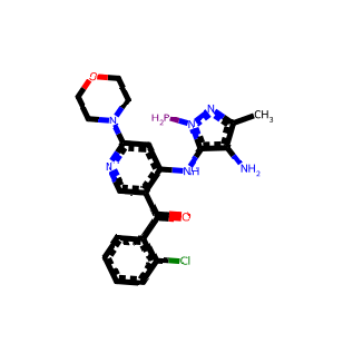 Cc1nn(P)c(Nc2cc(N3CCOCC3)ncc2C(=O)c2ccccc2Cl)c1N